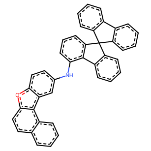 c1ccc2c(c1)-c1ccccc1C21c2ccccc2-c2c(Nc3ccc4oc5ccc6ccccc6c5c4c3)cccc21